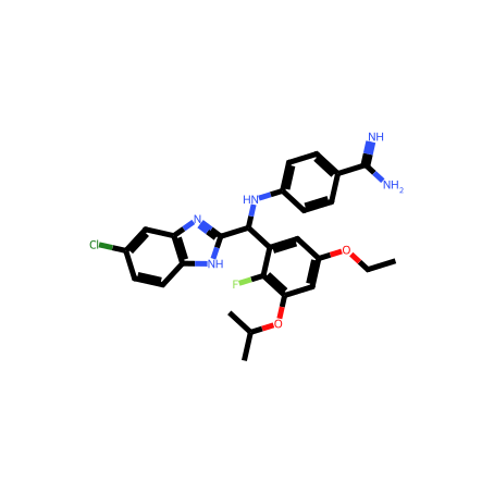 CCOc1cc(OC(C)C)c(F)c(C(Nc2ccc(C(=N)N)cc2)c2nc3cc(Cl)ccc3[nH]2)c1